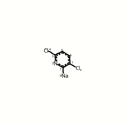 [Na][c]1nc(Cl)ccc1Cl